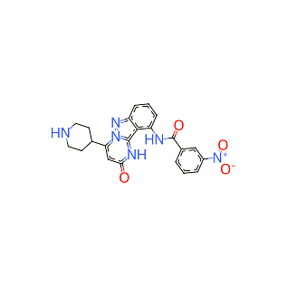 O=C(Nc1cccc2nn3c(C4CCNCC4)cc(=O)[nH]c3c12)c1cccc([N+](=O)[O-])c1